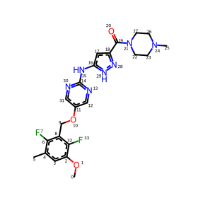 COc1cc(C)c(F)c(COc2cnc(Nc3cc(C(=O)N4CCN(C)CC4)n[nH]3)nc2)c1F